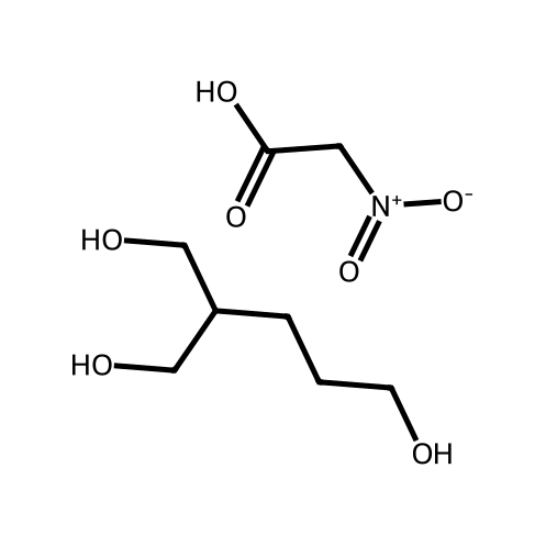 O=C(O)C[N+](=O)[O-].OCCCC(CO)CO